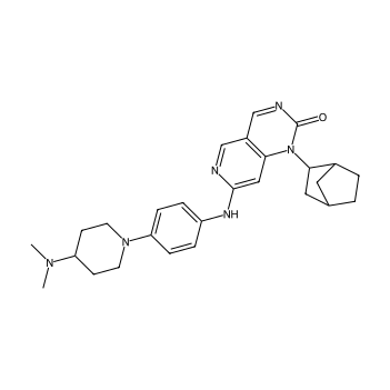 CN(C)C1CCN(c2ccc(Nc3cc4c(cn3)cnc(=O)n4C3CC4CCC3C4)cc2)CC1